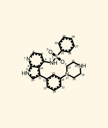 O=S(=O)(Nc1ccnc2[nH]cc(-c3cccc(N4CCNCC4)c3)c12)c1ccccc1